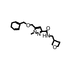 Cn1nc(C(=O)NCC2CCOC2)cc1COCC1=CCCC=C1